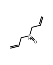 C=CC[PH](=O)CC=C